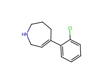 Clc1ccccc1C1=CCNCCC1